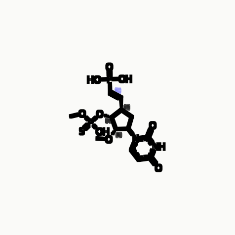 CO[C@H]1C(n2ccc(=O)[nH]c2=O)C[C@H](/C=C/P(=O)(O)O)[C@H]1OP(O)(=S)OC